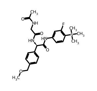 COCc1ccc([C@@H](NC(=O)CNC(C)=O)C(=O)Nc2ccc(S(C)(C)C)c(F)c2)cc1